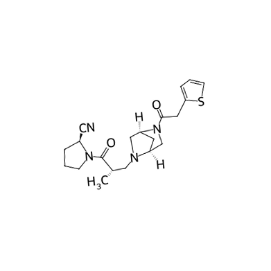 C[C@@H](CN1C[C@@H]2C[C@H]1CN2C(=O)Cc1cccs1)C(=O)N1CCC[C@H]1C#N